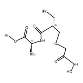 CC(C)C[C@H](COCC(=O)NO)C(=O)N[C@H](C(=O)OC(C)C)C(C)(C)C